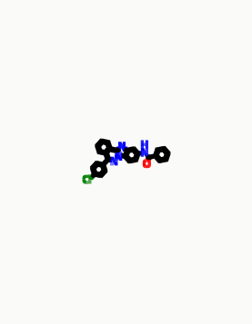 O=C(Nc1ccc2c(c1)nc1c3ccccc3c(-c3ccc(Cl)cc3)nn21)c1ccccc1